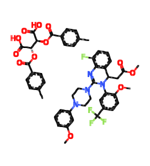 COC(=O)CC1c2cccc(F)c2N=C(N2CCN(c3cccc(OC)c3)CC2)N1c1cc(C(F)(F)F)ccc1OC.Cc1ccc(C(=O)O[C@H](C(=O)O)[C@H](OC(=O)c2ccc(C)cc2)C(=O)O)cc1